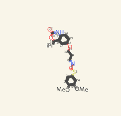 COc1ccc(SON=CCCOc2ccc3c(c2)C(C(C)C)OC(=O)N3)cc1OC